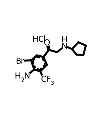 Cl.Nc1c(Br)cc(C(=O)CNC2CCCC2)cc1C(F)(F)F